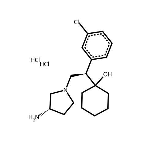 Cl.Cl.N[C@H]1CCN(C[C@@H](c2cccc(Cl)c2)C2(O)CCCCC2)C1